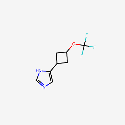 FC(F)(F)OC1CC(c2cn[c][nH]2)C1